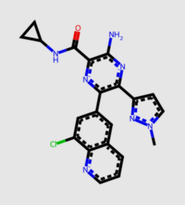 Cn1ccc(-c2nc(N)c(C(=O)NC3CC3)nc2-c2cc(Cl)c3ncccc3c2)n1